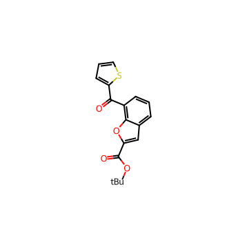 CC(C)(C)OC(=O)c1cc2cccc(C(=O)c3cccs3)c2o1